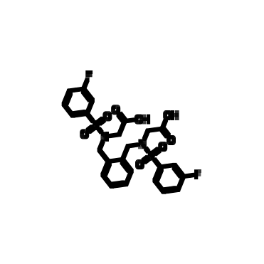 O=C(O)CN(Cc1ccccc1CN(CC(=O)O)S(=O)(=O)c1cccc(F)c1)S(=O)(=O)c1cccc(F)c1